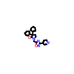 O=C1N(Cc2nc(-c3ccncc3)no2)CCC1(c1ccccc1)c1ccccc1